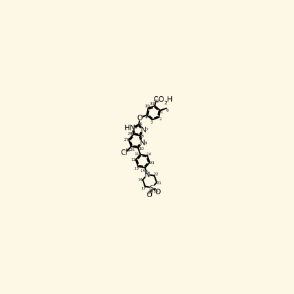 Cc1ccc(Oc2nc3nc(-c4ccc(N5CCS(=O)(=O)CC5)cc4)c(Cl)cc3[nH]2)cc1C(=O)O